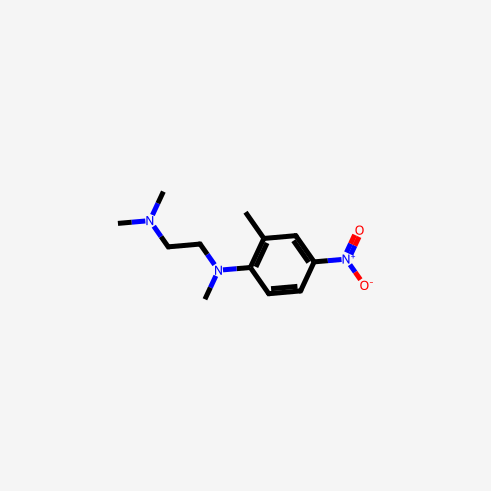 Cc1cc([N+](=O)[O-])ccc1N(C)CCN(C)C